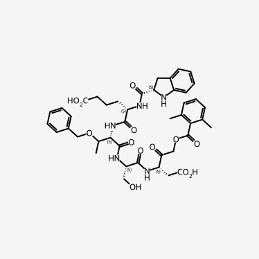 Cc1cccc(C)c1C(=O)OCC(=O)[C@H](CC(=O)O)NC(=O)[C@H](CO)NC(=O)[C@@H](NC(=O)[C@H](CCCC(=O)O)NC(=O)[C@@H]1Cc2ccccc2N1)C(C)OCc1ccccc1